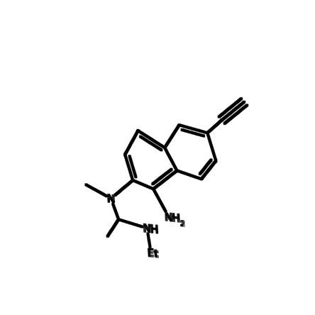 C#Cc1ccc2c(N)c(N(C)C(C)NCC)ccc2c1